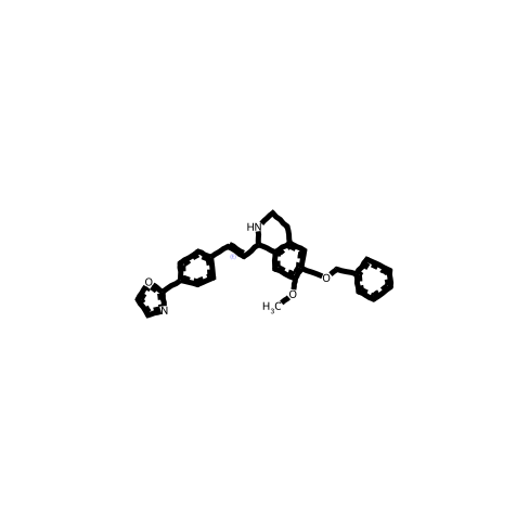 COc1cc2c(cc1OCc1ccccc1)CCNC2/C=C/c1ccc(-c2ncco2)cc1